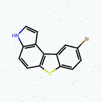 Brc1ccc2sc3ccc4[nH]ccc4c3c2c1